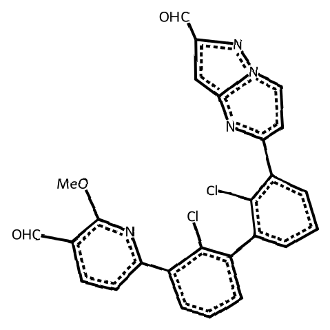 COc1nc(-c2cccc(-c3cccc(-c4ccn5nc(C=O)cc5n4)c3Cl)c2Cl)ccc1C=O